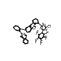 Fc1c(F)c(F)c(-c2nc(Cl)nc(-c3cccc4c3sc3ccc(-c5ccccc5-n5cc6ccccc6c5)cc34)n2)c(F)c1F